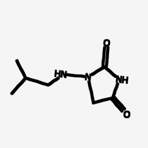 CC(C)CNN1CC(=O)NC1=O